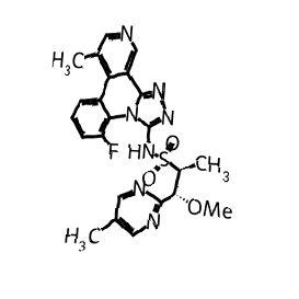 CO[C@H](c1ncc(C)cn1)[C@H](C)S(=O)(=O)Nc1nnc2c3cncc(C)c3c3cccc(F)c3n12